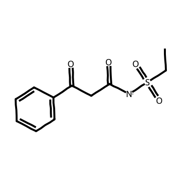 CCS(=O)(=O)[N]C(=O)CC(=O)c1ccccc1